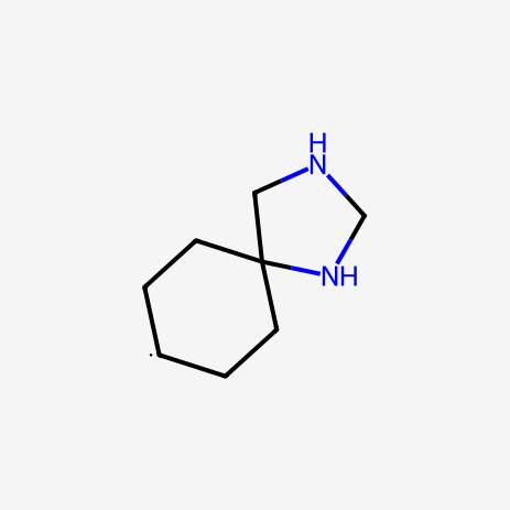 [CH]1CCC2(CC1)CNCN2